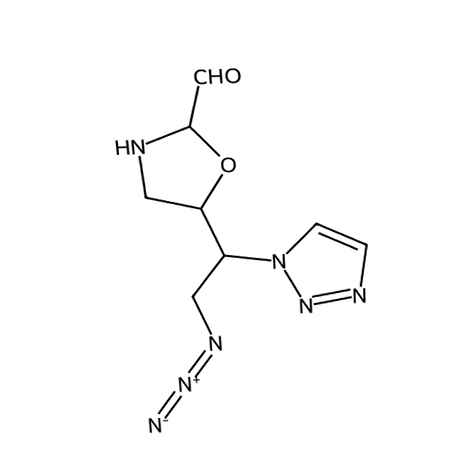 [N-]=[N+]=NCC(C1CNC(C=O)O1)n1ccnn1